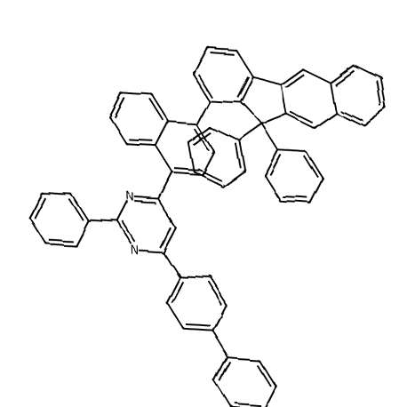 c1ccc(-c2ccc(-c3cc(-c4ccc(-c5cccc6c5C(c5ccccc5)(c5ccccc5)c5cc7ccccc7cc5-6)c5ccccc45)nc(-c4ccccc4)n3)cc2)cc1